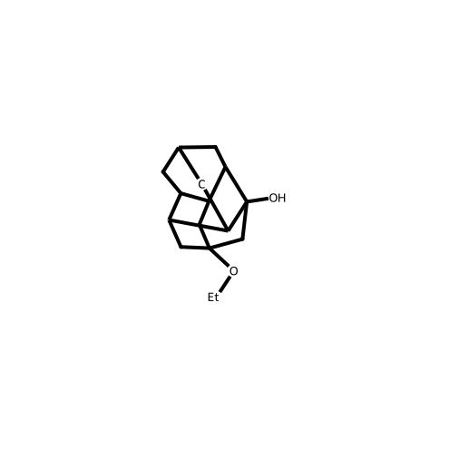 CCOC12CC3C4CC5CC3C(O)(C1)C(C5)C4C2